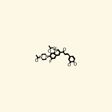 CC(=O)N1CCN(c2c(F)cc3cc(C(=O)C=CC4=CC(=O)C(=O)C=C4)c[n+]([O-])c3c2OC(C)C)CC1